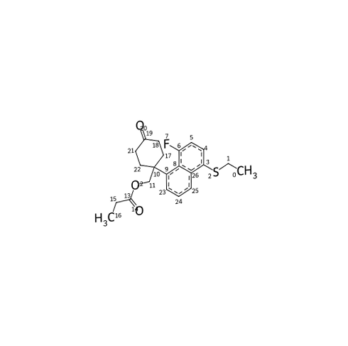 CCSc1ccc(F)c2c(C3(COC(=O)CC)CCC(=O)CC3)cccc12